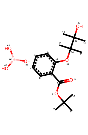 CC(C)(C)OC(=O)c1ccccc1OC(C)(C)C(C)(C)O.OB(O)O